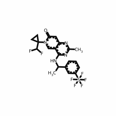 Cc1nc(NC(C)c2cccc(S(F)(F)(F)(F)F)c2)c2cn(C3(C(F)F)CC3)c(=O)cc2n1